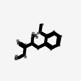 COc1ccccc1CC(N)C(=O)OBr